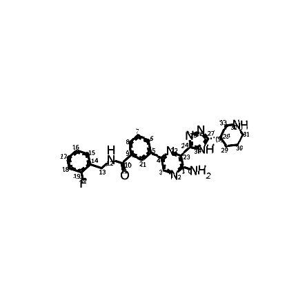 Nc1ncc(-c2cccc(C(=O)NCc3ccccc3F)c2)nc1-c1nnc([C@H]2CCCNC2)[nH]1